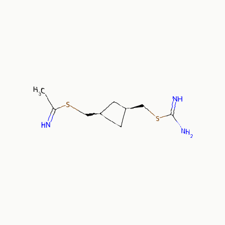 CC(=N)SC[C@H]1C[C@@H](CSC(=N)N)C1